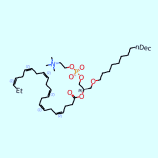 CC/C=C\C/C=C\C/C=C\C/C=C\C/C=C\C/C=C\CCC(=O)O[C@H](COCCCCCCCCCCCCCCCCCC)COP(=O)([O-])OCC[N+](C)(C)C